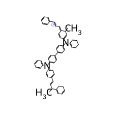 CC1C=C(N(C2=CCCC=C2)c2ccc(-c3ccc(N(c4ccccc4)c4ccc(C=CC(C)C5=CC=CCC5)cc4)cc3)cc2)C=CC1=C/C=C/c1ccccc1